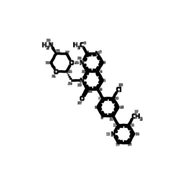 Cc1ncc2cc(-c3ccc(-c4ncccc4C)cc3Cl)c(=O)n(C[C@H]3OC[C@H](N)CO3)c2n1